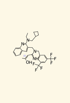 CCN(CC1CCC1)c1nc2ccccc2cc1CN(Cc1cc(C(F)(F)F)cc(C(F)(F)F)c1)C(=N)/C=C(/C)O